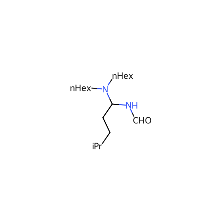 CCCCCCN(CCCCCC)C(CCC(C)C)NC=O